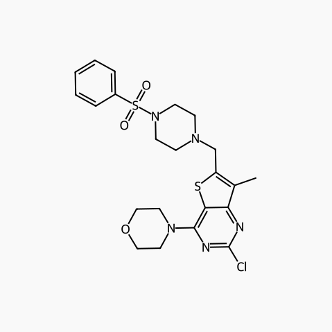 Cc1c(CN2CCN(S(=O)(=O)c3ccccc3)CC2)sc2c(N3CCOCC3)nc(Cl)nc12